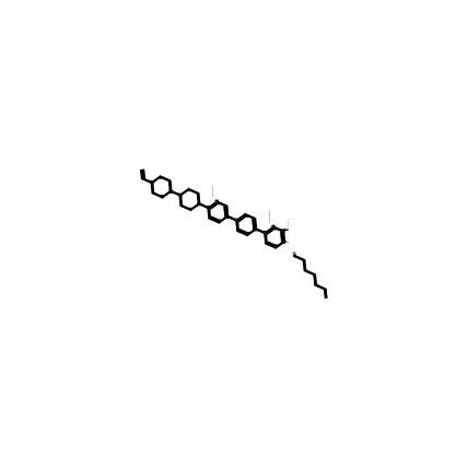 C=CC1CCC(C2CCC(c3ccc(-c4ccc(-c5ccc(OCCCCCCC)c(F)c5F)cc4)cc3F)CC2)CC1